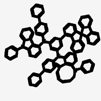 C=C1/C=C\C=C/CN(c2ccccc2)c2cccc(N(c3ccc(-c4ccccc4)cc3)c3cc(-c4cccc5c4-c4ccccc4C54c5ccccc5-c5ccccc54)cc(N(c4ccc(-c5ccccc5)cc4)c4cccc5c4c4ccccc4n5-c4ccccc4)c3)c21